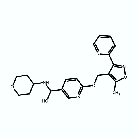 Cc1onc(-c2ccccn2)c1COc1ccc(C(O)NC2CCOCC2)cn1